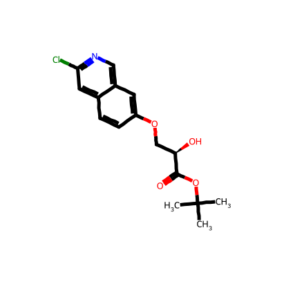 CC(C)(C)OC(=O)[C@H](O)COc1ccc2cc(Cl)ncc2c1